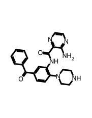 Nc1nccnc1C(=O)Nc1cc(C(=O)c2ccccc2)ccc1N1CCNCC1